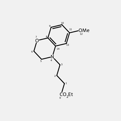 CCOC(=O)CCCN1CCOc2ccc(OC)cc21